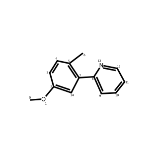 COc1ccc(C)c(-c2ccccn2)c1